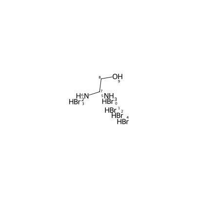 Br.Br.Br.Br.Br.N.NCCO